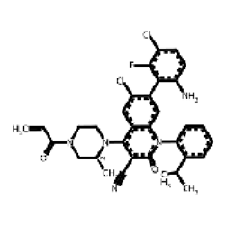 C=CC(=O)N1CCN(c2c(C#N)c(=O)n(-c3ccccc3C(C)C)c3cc(-c4c(N)ccc(Cl)c4F)c(Cl)cc23)[C@@H](C)C1